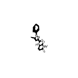 Cc1cc(C(=O)NC2CCC(=O)NC2=O)nn1-c1ccccc1